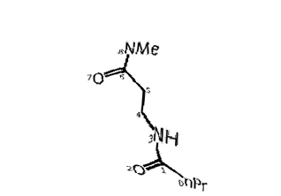 CCCC(=O)NCCC(=O)NC